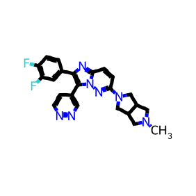 CN1CC2CN(c3ccc4nc(-c5ccc(F)c(F)c5)c(-c5ccnnc5)n4n3)CC2C1